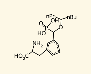 CCCCC(CCC)OC(c1cccc(CC(N)C(=O)O)c1)P(=O)(O)O